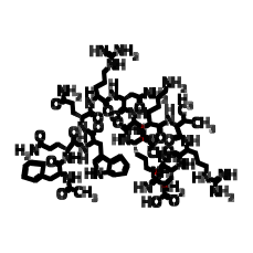 CSCCC(NC(=O)[C@H](CC(N)=O)NC(=O)C(CCCNC(=N)N)NC(=O)[C@H](CCC(N)=O)NC(=O)C(Cc1c[nH]c2ccccc12)NC(=O)[C@H](CCC(N)=O)NC(=O)C(Cc1ccccc1)NC(C)=O)C(=O)N[C@@H](CCCNC(=N)N)C(=O)NC(CCCCN)C(=O)N[C@H](C(=O)NC(CCCNC(=N)N)C(=O)N[C@@H](CCC(=O)O)C(N)=O)C(C)C